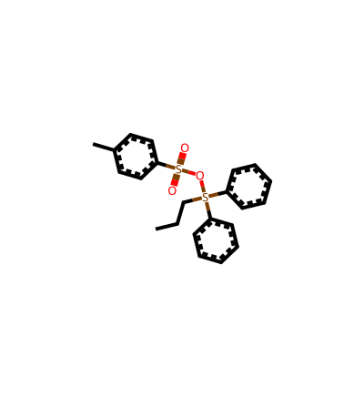 CCCS(OS(=O)(=O)c1ccc(C)cc1)(c1ccccc1)c1ccccc1